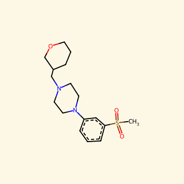 CS(=O)(=O)c1cccc(N2CCN(CC3CCCOC3)CC2)c1